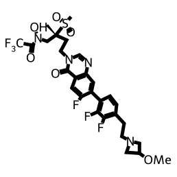 COC1CN(CCc2ccc(-c3cc4ncn(CC[C@](C)(CN(O)C(=O)C(F)(F)F)S(C)(=O)=O)c(=O)c4cc3F)c(F)c2F)C1